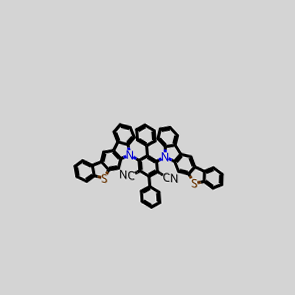 N#Cc1c(-c2ccccc2)c(C#N)c(-n2c3ccccc3c3cc4c(cc32)sc2ccccc24)c(-c2ccccc2)c1-n1c2ccccc2c2cc3c(cc21)sc1ccccc13